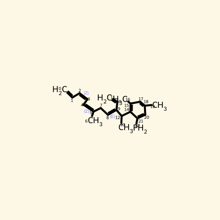 C=C/C=C\C=C(\C)C/C=C(\C=C)C(C)c1c(C)cc(C)cc1P